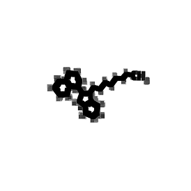 CCCCCCCCC1=C(c2cccc3ccccc23)[CH]c2ccccc21